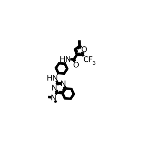 Cc1cc(C(=O)N[C@H]2CC[C@@H](Nc3nc4c(c(N(C)C)n3)CCCC4)CC2)c(C(F)(F)F)o1